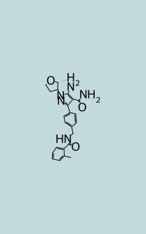 Cc1ccccc1C(=O)NCc1ccc(-c2nn([C@H]3CCO[C@@H]3C)c(N)c2C(N)=O)cc1